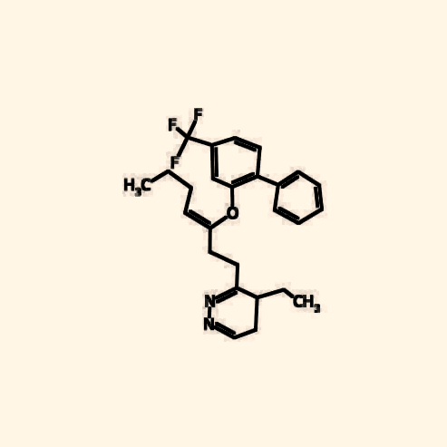 CCC/C=C(/CCC1=NN=CCC1CC)Oc1cc(C(F)(F)F)ccc1-c1ccccc1